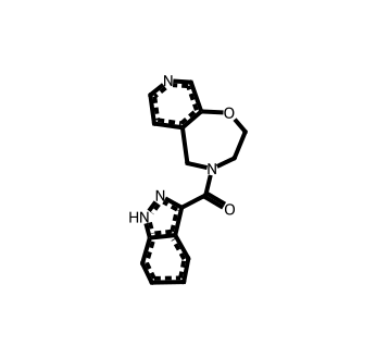 O=C(c1n[nH]c2ccccc12)N1CCOc2cnccc2C1